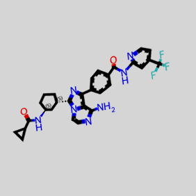 Nc1nccn2c([C@H]3CCC[C@H](NC(=O)C4CC4)C3)nc(-c3ccc(C(=O)Nc4cc(C(F)(F)F)ccn4)cc3)c12